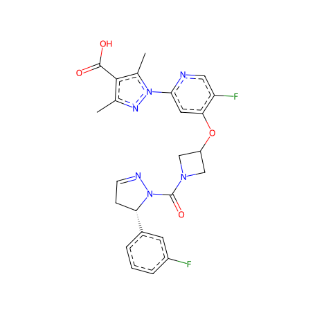 Cc1nn(-c2cc(OC3CN(C(=O)N4N=CC[C@H]4c4cccc(F)c4)C3)c(F)cn2)c(C)c1C(=O)O